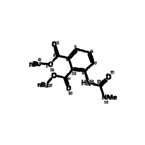 CCCCOC(=O)c1cccc(NC(=O)NC)c1C(=O)OCCCC